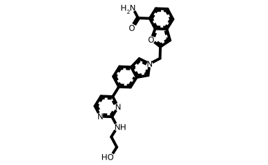 NC(=O)c1cccc2cc(Cn3cc4ccc(-c5ccnc(NCCO)n5)cc4c3)oc12